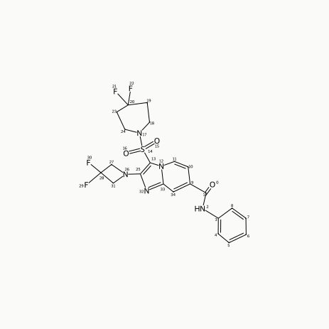 O=C(Nc1ccccc1)c1ccn2c(S(=O)(=O)N3CCC(F)(F)CC3)c(N3CC(F)(F)C3)nc2c1